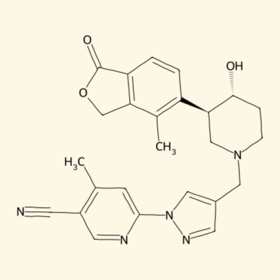 Cc1cc(-n2cc(CN3CC[C@@H](O)[C@H](c4ccc5c(c4C)COC5=O)C3)cn2)ncc1C#N